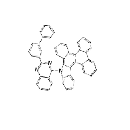 c1ccc(-c2cccc(-c3nc(-n4c5ccccc5c5c6c7ccccc7c7ccccc7c6c6ccccc6c54)c4ccccc4n3)c2)cc1